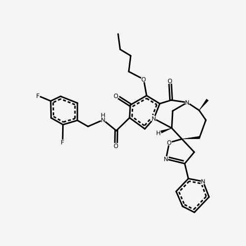 CCCCOc1c2n(cc(C(=O)NCc3ccc(F)cc3F)c1=O)[C@@H]1CN(C2=O)[C@@H](C)CC[C@]12CC(c1ccccn1)=NO2